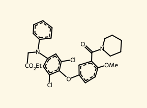 CCOC(=O)CN(c1ccccc1)c1cc(Cl)c(Oc2ccc(OC)c(C(=O)N3CCCCC3)c2)c(Cl)c1